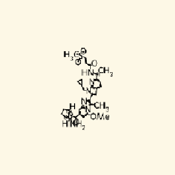 COc1cc(C(=O)N2[C@H]3CC[C@@H]2[C@H](N)C3)cc2nc(-c3cc4ccc([C@@H](C)NC(=O)CCS(C)(=O)=O)nc4n3CC3CC3)c(C)n12